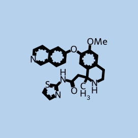 COc1cc2c(cc1Oc1ccc3cnccc3c1)C(C)(CC(=O)Nc1nccs1)NCC2